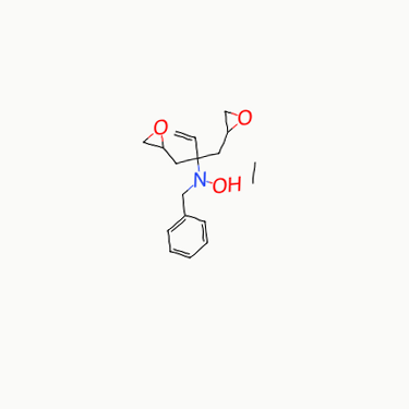 C=CC(CC1CO1)(CC1CO1)N(O)Cc1ccccc1.CC